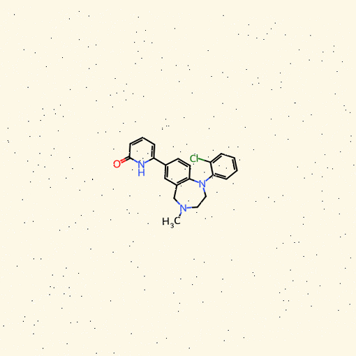 CN1CCN(c2ccccc2Cl)c2ccc(-c3cccc(=O)[nH]3)cc2C1